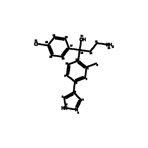 Cc1cc(-c2cn[nH]c2)ccc1C(O)(CCN)c1ccc(Cl)cc1